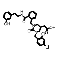 O=C(O)CC1CN(Cc2ccc(Cl)cc2Cl)C(=O)N(Cc2ccccc2C(=O)NCCc2cccc(O)c2)C1